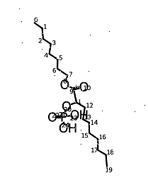 CCCCCCCCOC(=O)C(CCCCCCCC)OP(=O)(O)O